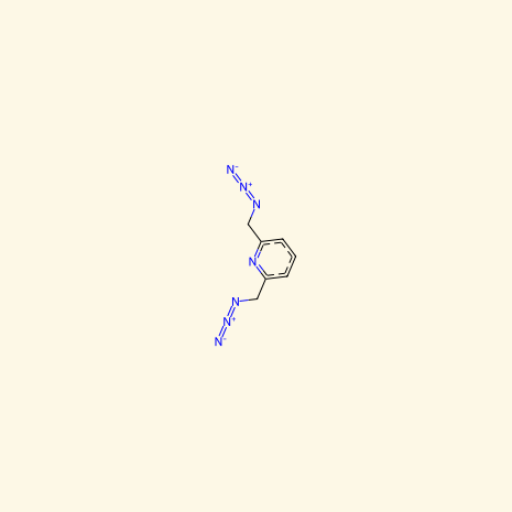 [N-]=[N+]=NCc1cccc(CN=[N+]=[N-])n1